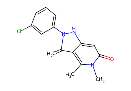 C=C1c2c(cc(=O)n(C)c2C)NN1c1cccc(Cl)c1